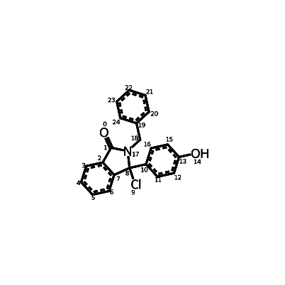 O=C1c2ccccc2C(Cl)(c2ccc(O)cc2)N1Cc1ccccc1